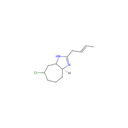 C/C=C/CC1=N[C@H]2CCCC(Cl)CC2N1